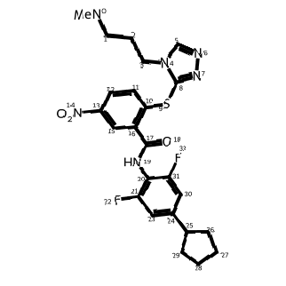 CNCCCn1cnnc1Sc1ccc([N+](=O)[O-])cc1C(=O)Nc1c(F)cc(C2CCCC2)cc1F